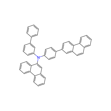 c1ccc(-c2cccc(N(c3ccc(-c4ccc5c(ccc6ccccc65)c4)cc3)c3cc4ccccc4c4ccccc34)c2)cc1